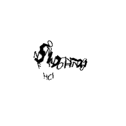 Cl.O=c1ccc2ncc(F)cc2n1CCN1C[C@H](CNCc2cc3c(cn2)OCCO3)[C@H](O)C1